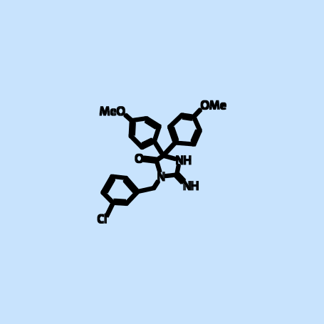 COc1ccc(C2(c3ccc(OC)cc3)NC(=N)N(Cc3cccc(Cl)c3)C2=O)cc1